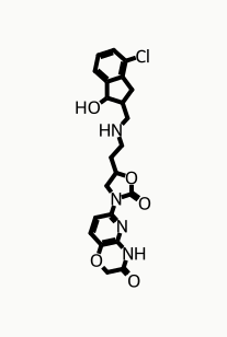 O=C1COc2ccc(N3CC(CCNCC4Cc5c(Cl)cccc5C4O)OC3=O)nc2N1